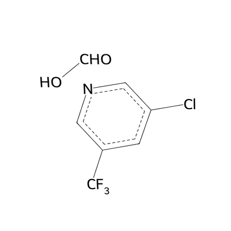 FC(F)(F)c1cncc(Cl)c1.O=CO